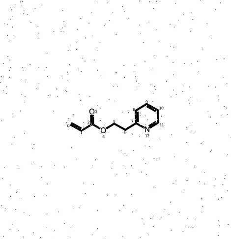 C=CC(=O)OCCc1ccccn1